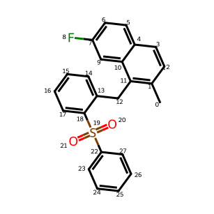 Cc1[c]cc2ccc(F)cc2c1Cc1ccccc1S(=O)(=O)c1ccccc1